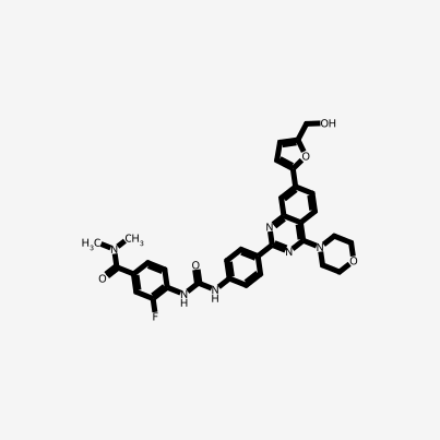 CN(C)C(=O)c1ccc(NC(=O)Nc2ccc(-c3nc(N4CCOCC4)c4ccc(-c5ccc(CO)o5)cc4n3)cc2)c(F)c1